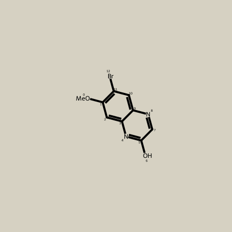 COc1cc2nc(O)cnc2cc1Br